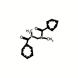 CN([CH]N(C)C(=O)c1ccccc1)C(=O)c1ccccc1